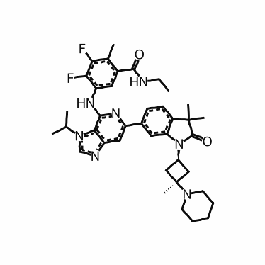 CCNC(=O)c1cc(Nc2nc(-c3ccc4c(c3)N([C@H]3C[C@@](C)(N5CCCCC5)C3)C(=O)C4(C)C)cc3ncn(C(C)C)c23)c(F)c(F)c1C